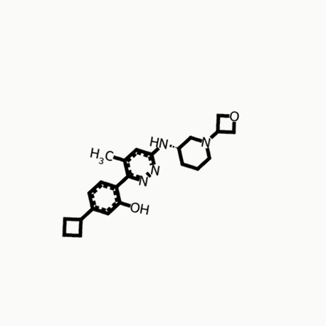 Cc1cc(N[C@H]2CCCN(C3COC3)C2)nnc1-c1ccc(C2CCC2)cc1O